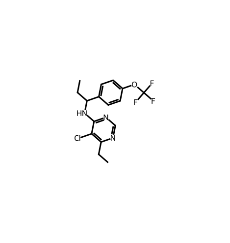 CCc1ncnc(NC(CC)c2ccc(OC(F)(F)F)cc2)c1Cl